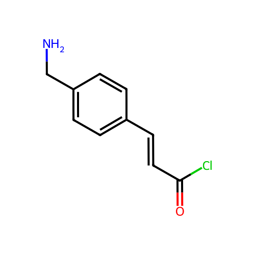 NCc1ccc(/C=C/C(=O)Cl)cc1